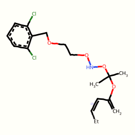 C=C(/C=C\CC)OC(C)(C)ONOCCOCc1c(Cl)cccc1Cl